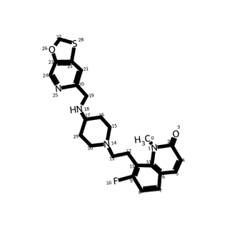 Cn1c(=O)ccc2ccc(F)c(CCN3CCC(NCc4cc5c(cn4)OCS5)CC3)c21